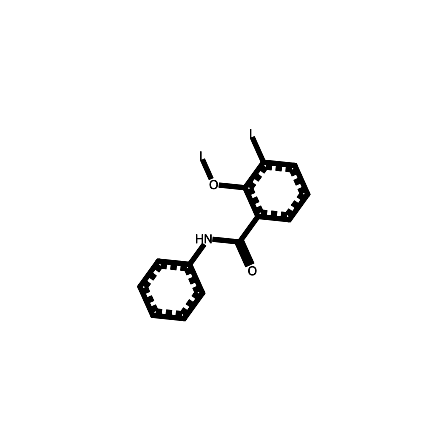 O=C(Nc1ccccc1)c1cccc(I)c1OI